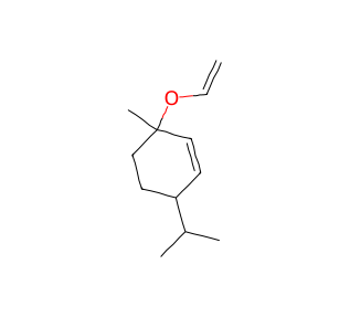 C=COC1(C)C=CC(C(C)C)CC1